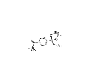 C=C(c1ccc([Si](OC(C)(C)C)(OC(C)(C)C)OC(C)(C)C)cc1)[SiH](C)C